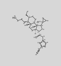 CC[C@H]1CC[C@@H]2[C@H](CC[C@]3(C)[C@@H](C(=O)Cn4ccc(C#N)n4)CC(C4CC4)[C@@H]23)[C@H]1CCCO